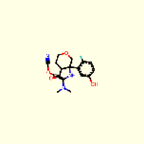 CN(C)C(=BOC#N)NC1(c2cc(O)ccc2F)COCCC1C=O